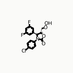 O=C1O[C@@H](COO)[C@H](c2cc(F)cc(F)c2)N1c1ccc(Cl)cc1